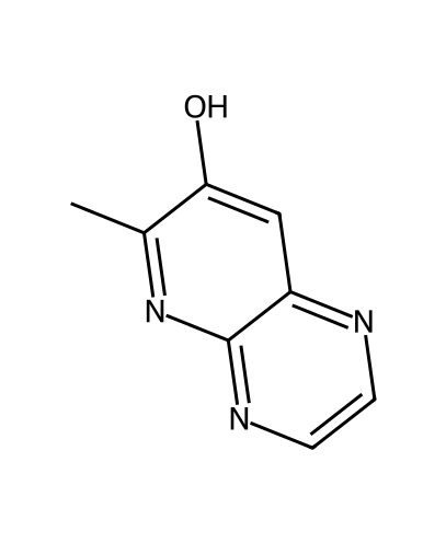 Cc1nc2nccnc2cc1O